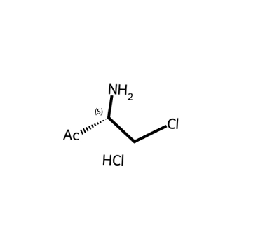 CC(=O)[C@H](N)CCl.Cl